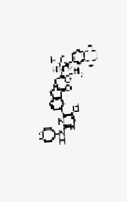 CC(C)(NC(=O)CN1Cc2ccc(-c3nc(NC4CCOCC4)ncc3Cl)cc2C1=O)c1ccc2c(c1)OCCO2